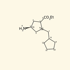 CCOC(=O)C1C[C@H](N)CN1CC1CCCC1